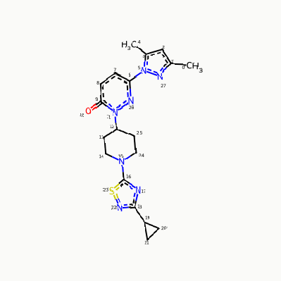 Cc1cc(C)n(-c2ccc(=O)n(C3CCN(c4nc(C5CC5)ns4)CC3)n2)n1